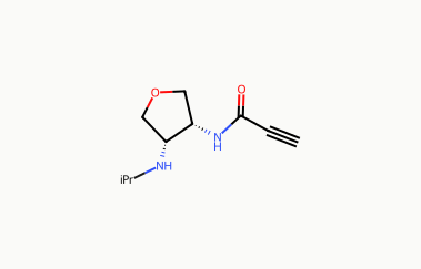 C#CC(=O)N[C@H]1COC[C@H]1NC(C)C